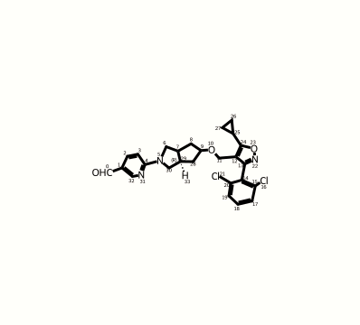 O=Cc1ccc(N2CC3CC(OCc4c(-c5c(Cl)cccc5Cl)noc4C4CC4)C[C@H]3C2)nc1